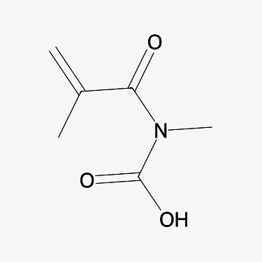 C=C(C)C(=O)N(C)C(=O)O